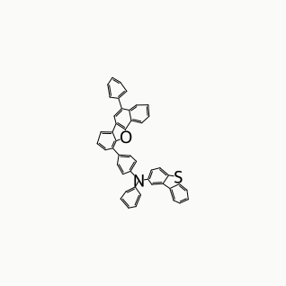 c1ccc(-c2cc3c4cccc(-c5ccc(N(c6ccccc6)c6ccc7sc8ccccc8c7c6)cc5)c4oc3c3ccccc23)cc1